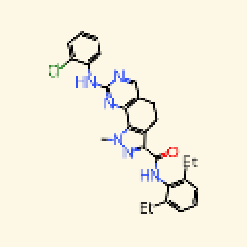 CCc1cccc(CC)c1NC(=O)c1nn(C)c2c1CCc1cnc(Nc3ccccc3Cl)nc1-2